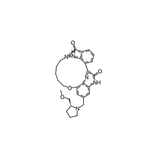 COC[C@@H]1CCCN1Cc1cc2c3nc(c(=O)[nH]c3c1)-c1cccc3c(=O)n([nH]c13)CCCCCO2